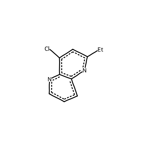 CCc1cc(Cl)c2ncccc2n1